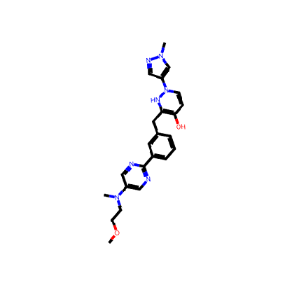 COCCN(C)c1cnc(-c2cccc(CC3=C(O)C=CN(c4cnn(C)c4)N3)c2)nc1